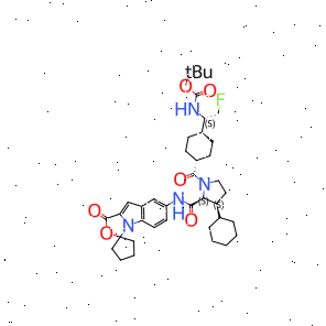 CC(C)(C)OC(=O)N[C@H](CF)[C@H]1CC[C@H](C(=O)N2CC[C@@H](C3CCCCC3)[C@H]2C(=O)Nc2ccc3c(c2)cc2n3C3(CCCC3)OC2=O)CC1